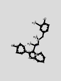 N/C(=C\N(N)Cc1ccc(Cl)c(N)c1)c1c(-c2ccc(Cl)cc2)nc2ccccn12